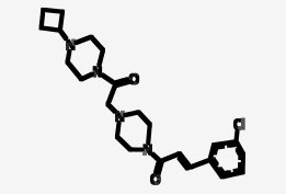 O=C(/C=C/c1cccc(Cl)c1)N1CCN(CC(=O)N2CCN(C3CCC3)CC2)CC1